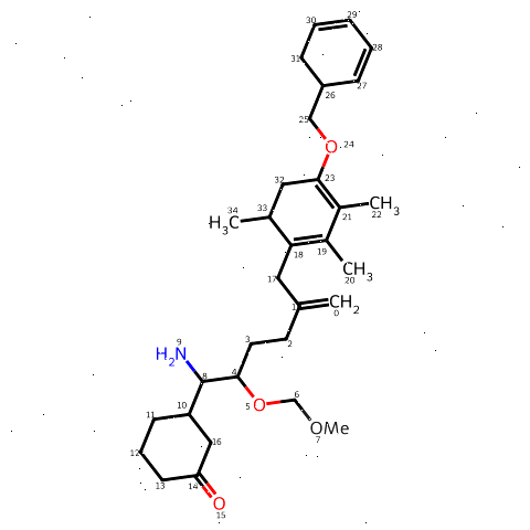 C=C(CCC(OCOC)C(N)C1CCCC(=O)C1)CC1=C(C)C(C)=C(OCC2C=CC=CC2)CC1C